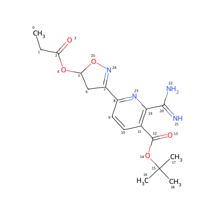 CCC(=O)OC1CC(c2ccc(C(=O)OC(C)(C)C)c(C(=N)N)n2)=NO1